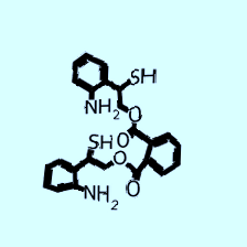 Nc1ccccc1C(S)COC(=O)c1ccccc1C(=O)OCC(S)c1ccccc1N